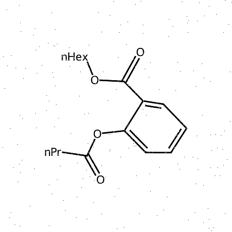 CCCCCCOC(=O)c1ccccc1OC(=O)CCC